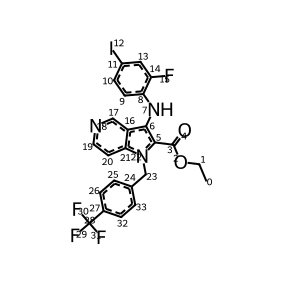 CCOC(=O)c1c(Nc2ccc(I)cc2F)c2cnccc2n1Cc1ccc(C(F)(F)F)cc1